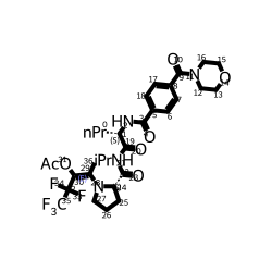 CCC[C@H](NC(=O)c1ccc(C(=O)N2CCOCC2)cc1)C(=O)NC(=O)[C@@H]1CCCN1/C(=C(/OC(C)=O)C(F)(F)C(F)(F)F)C(C)C